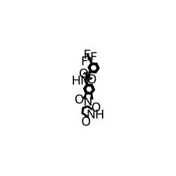 O=C1CCC(N2Cc3ccc(NS(=O)(=O)c4cccc(C(F)(F)F)c4)cc3C2=O)C(=O)N1